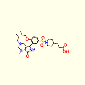 CCCOc1ccc(S(=O)(=O)N2CCC(CCC(=O)O)CC2)cc1C1NC(=O)C2=C1CN(CCC)CN2C